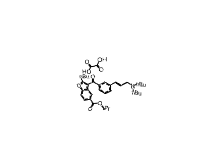 CCCCc1oc2ccc(C(=O)OC(C)C)cc2c1C(=O)c1cccc(C=CCN(CCCC)CCCC)c1.O=C(O)C(=O)O